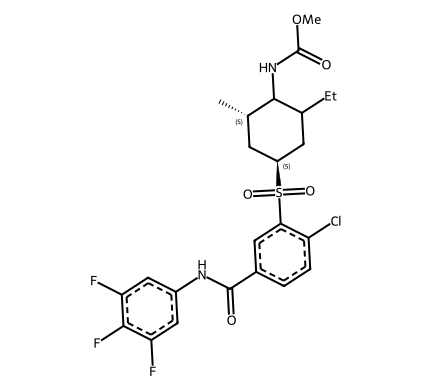 CCC1C[C@@H](S(=O)(=O)c2cc(C(=O)Nc3cc(F)c(F)c(F)c3)ccc2Cl)C[C@H](C)C1NC(=O)OC